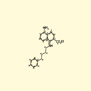 CCOC(=O)c1cnc2c(N)cccc2c1NCCCCc1ccccc1